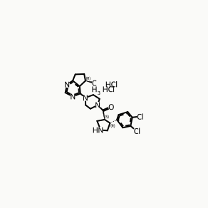 C[C@@H]1CCc2ncnc(N3CCN(C(=O)[C@@H]4CNC[C@H]4c4ccc(Cl)c(Cl)c4)CC3)c21.Cl.Cl